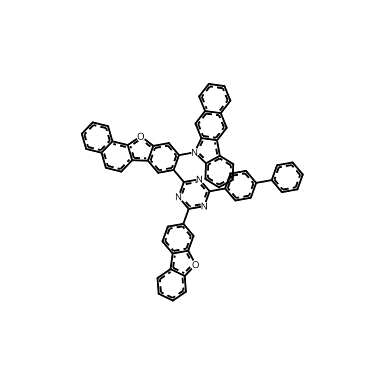 c1ccc(-c2ccc(-c3nc(-c4ccc5c(c4)oc4ccccc45)nc(-c4cc5c(cc4-n4c6ccccc6c6cc7ccccc7cc64)oc4c6ccccc6ccc54)n3)cc2)cc1